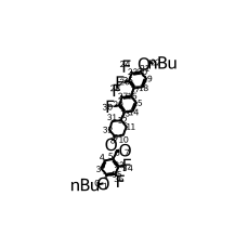 CCCCOc1ccc(C(=O)OC2CCC(c3ccc(-c4ccc(OCCCC)c(F)c4F)c(F)c3F)CC2)c(F)c1F